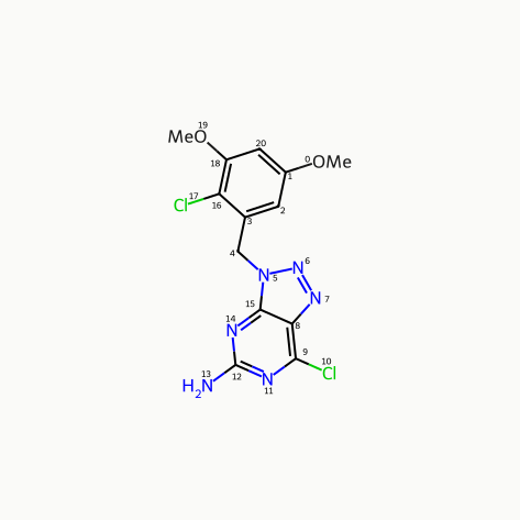 COc1cc(Cn2nnc3c(Cl)nc(N)nc32)c(Cl)c(OC)c1